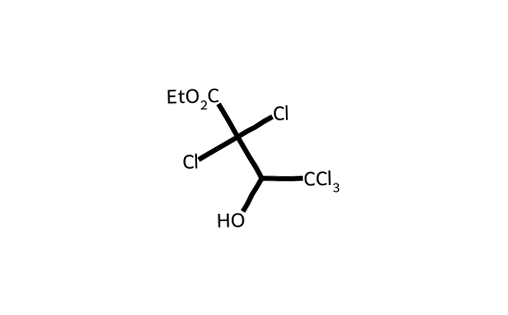 CCOC(=O)C(Cl)(Cl)C(O)C(Cl)(Cl)Cl